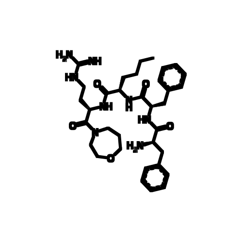 CCCC[C@@H](NC(=O)[C@@H](Cc1ccccc1)NC(=O)[C@H](N)Cc1ccccc1)C(=O)N[C@H](CCNC(=N)N)C(=O)N1CCCOCC1